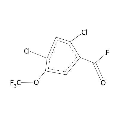 O=C(F)c1cc(OC(F)(F)F)c(Cl)cc1Cl